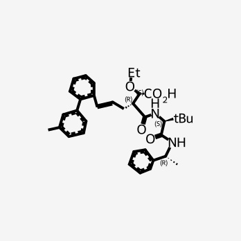 CCO[C@H](C(=O)O)[C@@H](CC=Cc1ccccc1-c1cccc(C)c1)C(=O)N[C@H](C(=O)N[C@H](C)c1ccccc1)C(C)(C)C